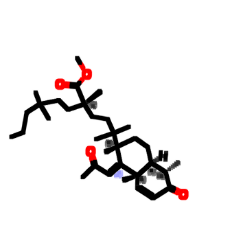 CCCC(C)(C)CC[C@@](C)(CCC(C)(C)[C@]1(C)CC[C@H]2[C@H](C)C(=O)C=C[C@]2(C)/C1=C/C(C)=O)C(=O)OC